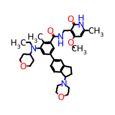 CCN(c1cc(-c2ccc3c(c2)CCC3N2CCOCC2)cc(C(=O)NCc2c(OC)cc(C)[nH]c2=O)c1C)C1CCOCC1